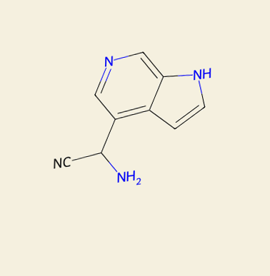 N#CC(N)c1cncc2[nH]ccc12